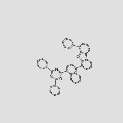 c1ccc(-c2nc(-c3ccccc3)nc(-c3ccc(-c4cccc5c4oc4c(-c6ccccc6)cccc45)c4ccccc34)n2)cc1